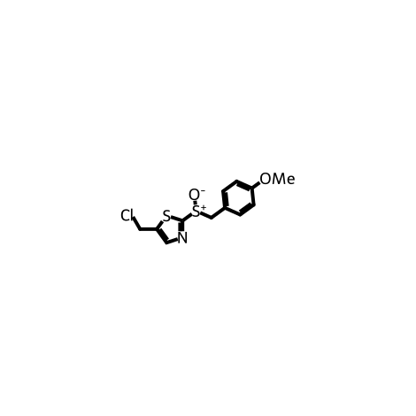 COc1ccc(C[S+]([O-])c2ncc(CCl)s2)cc1